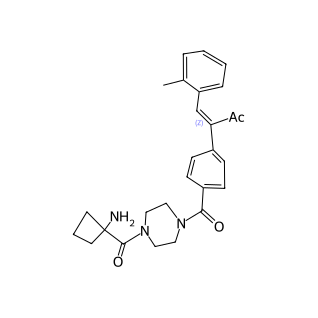 CC(=O)/C(=C\c1ccccc1C)c1ccc(C(=O)N2CCN(C(=O)C3(N)CCC3)CC2)cc1